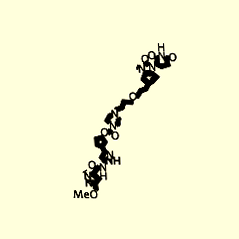 COCc1cc(C(=O)Nc2cc(C3CC[C@@H](OC(=O)N4CCN(CCCCOCCCc5ccc6c(c5)n(C)c(=O)n6C5CCC(=O)NC5=O)CC4)C3)n[nH]2)n(C)n1